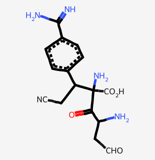 N#CCC(c1ccc(C(=N)N)cc1)C(N)(C(=O)O)C(=O)C(N)CC=O